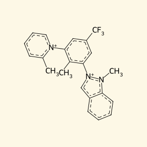 Cc1c(-[n+]2ccccc2C)cc(C(F)(F)F)cc1-[n+]1cc2ccccc2n1C